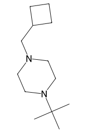 CC(C)(C)N1CCN(CC2CCC2)CC1